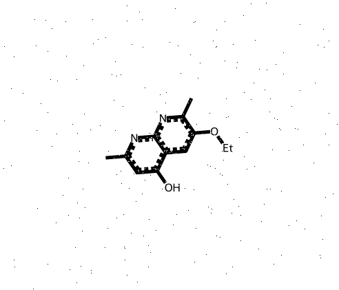 CCOc1cc2c(O)cc(C)nc2nc1C